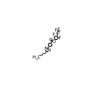 CCCCCc1cnc(-c2ccc(C(=O)Oc3cc(F)c(/C=C/C(F)(F)F)c(F)c3)cc2)nc1